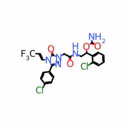 NC(=O)OC(CNC(=O)Cn1nc(-c2ccc(Cl)cc2)n(C=CC(F)(F)F)c1=O)c1ccccc1Cl